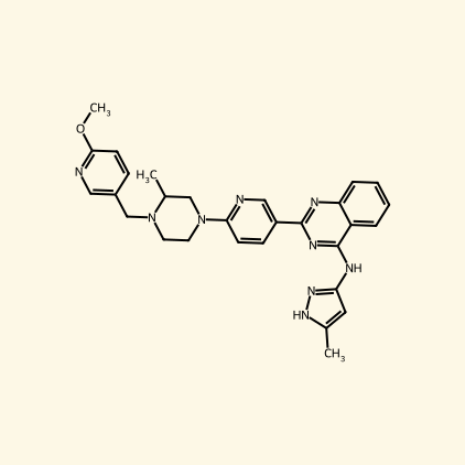 COc1ccc(CN2CCN(c3ccc(-c4nc(Nc5cc(C)[nH]n5)c5ccccc5n4)cn3)CC2C)cn1